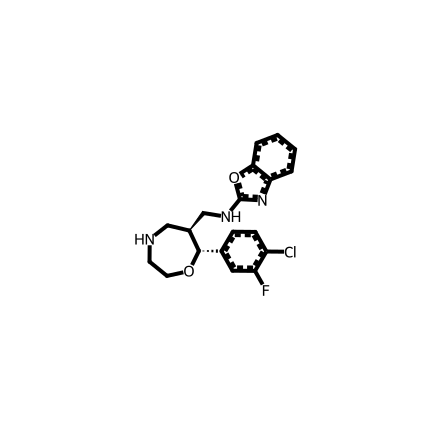 Fc1cc([C@@H]2OCCNC[C@H]2CNc2nc3ccccc3o2)ccc1Cl